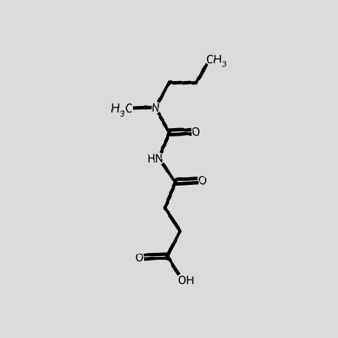 CCCN(C)C(=O)NC(=O)CCC(=O)O